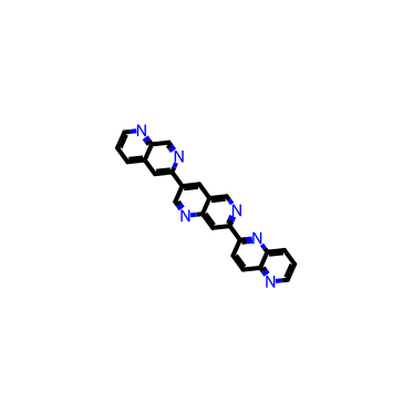 c1cnc2cnc(-c3cnc4cc(-c5ccc6ncccc6n5)ncc4c3)cc2c1